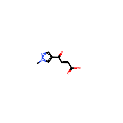 Cn1cc(C(=O)C=CC(=O)O)cn1